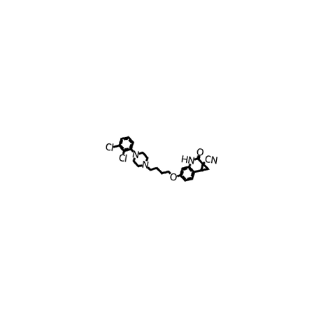 N#CC12CC1c1ccc(OCCCCN3CCN(c4cccc(Cl)c4Cl)CC3)cc1NC2=O